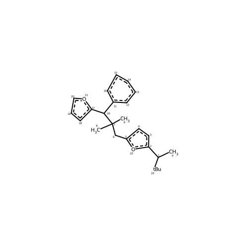 CC(c1ccc(CC(C)(C)C(c2ccccc2)c2ccco2)o1)C(C)(C)C